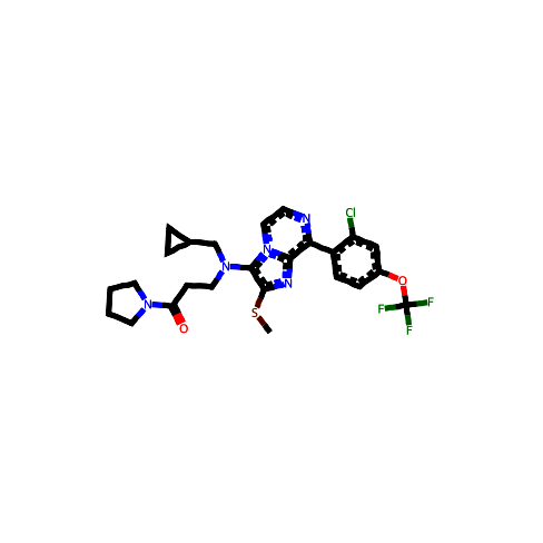 CSc1nc2c(-c3ccc(OC(F)(F)F)cc3Cl)nccn2c1N(CCC(=O)N1CCCC1)CC1CC1